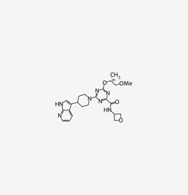 COC[C@@H](C)Oc1nc(C(=O)NC2COC2)nc(N2CCC(c3c[nH]c4ncccc34)CC2)n1